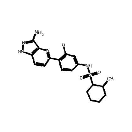 Nc1n[nH]c2ccc(-c3ccc(NS(=O)(=O)C4CCCCC4O)cc3Cl)nc12